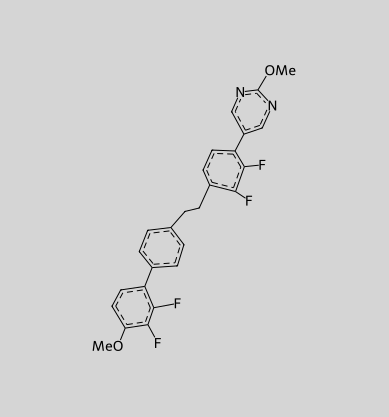 COc1ncc(-c2ccc(CCc3ccc(-c4ccc(OC)c(F)c4F)cc3)c(F)c2F)cn1